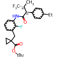 CCc1ccc([C@@H](C(=O)Nc2cccc(CC3(C(=O)OC(C)(C)C)CC3)c2F)[C@@H](C)C(F)(F)F)cc1